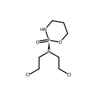 O=[P@]1(N(CCCl)CCCl)NCCCO1